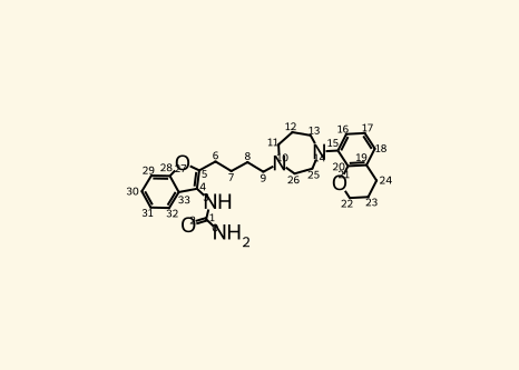 NC(=O)Nc1c(CCCCN2CCCN(c3cccc4c3OCCC4)CC2)oc2ccccc12